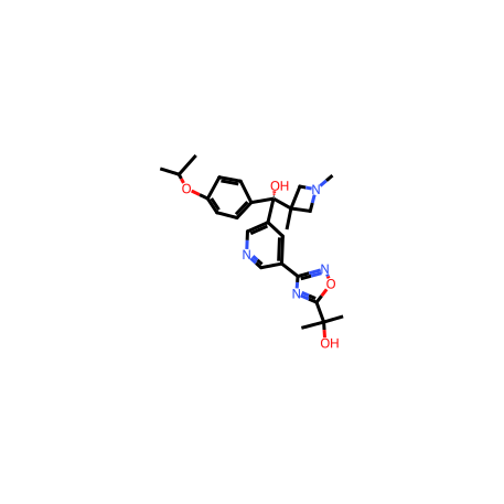 CC(C)Oc1ccc([C@](O)(c2cncc(-c3noc(C(C)(C)O)n3)c2)C2(C)CN(C)C2)cc1